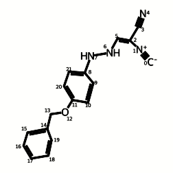 [C-]#[N+]/C(C#N)=C\NNc1ccc(OCc2ccccc2)cc1